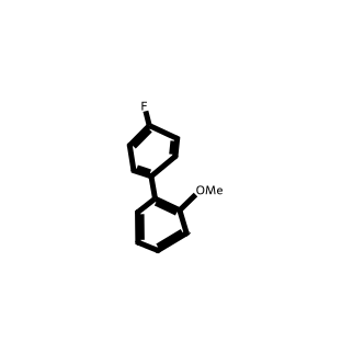 COc1[c]cccc1-c1ccc(F)cc1